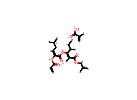 C=C(C)C(=O)O.C=CC(=O)OC(=CCC(C)C)C(=O)OC(=C(C)C(=O)OCC(C)C)C(C)CC